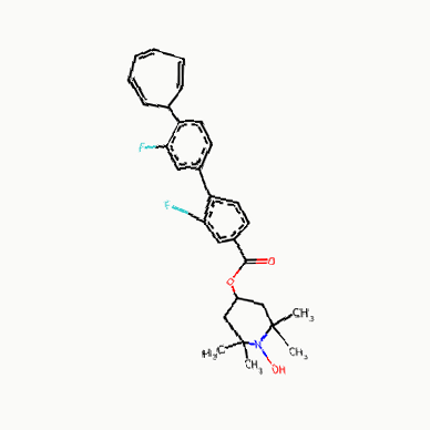 CC1(C)CC(OC(=O)c2ccc(-c3ccc(C4C=CC=CC=C4)c(F)c3)c(F)c2)CC(C)(C)N1O